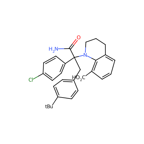 CC(C)(C)c1ccc(CC(C(N)=O)(c2ccc(Cl)cc2)N2CCCc3cccc(C(=O)O)c32)cc1